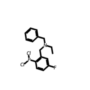 CCN(Cc1ccccc1)Cc1cc(F)ccc1P(Cl)Cl